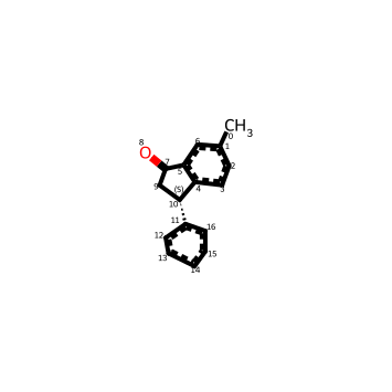 Cc1ccc2c(c1)C(=O)C[C@H]2c1ccccc1